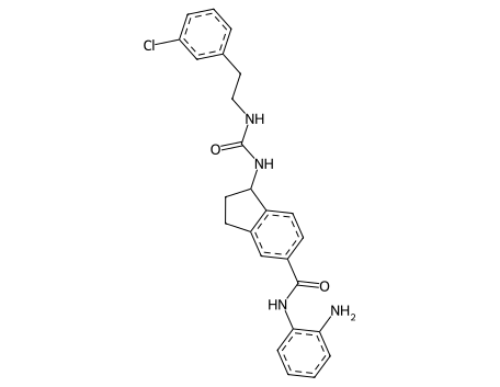 Nc1ccccc1NC(=O)c1ccc2c(c1)CCC2NC(=O)NCCc1cccc(Cl)c1